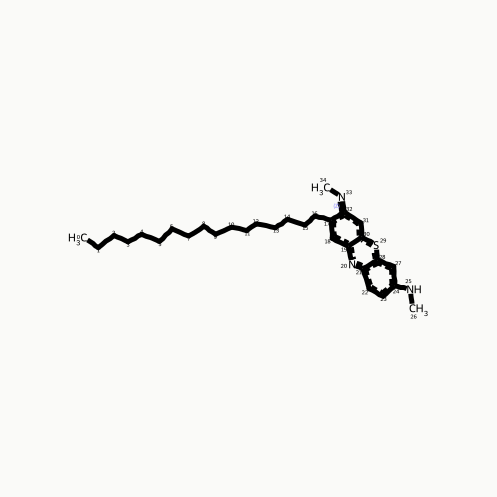 CCCCCCCCCCCCCCCCCc1cc2nc3ccc(NC)cc3sc-2c/c1=N/C